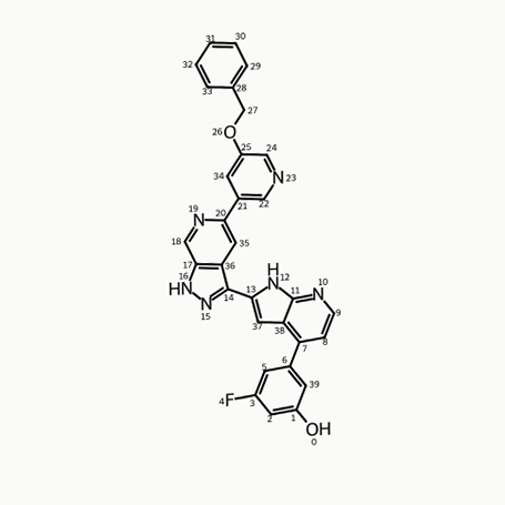 Oc1cc(F)cc(-c2ccnc3[nH]c(-c4n[nH]c5cnc(-c6cncc(OCc7ccccc7)c6)cc45)cc23)c1